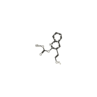 CC=Cc1cc2ccccc2nc1OC(=O)OC(C)(C)C